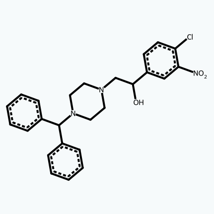 O=[N+]([O-])c1cc(C(O)CN2CCN(C(c3ccccc3)c3ccccc3)CC2)ccc1Cl